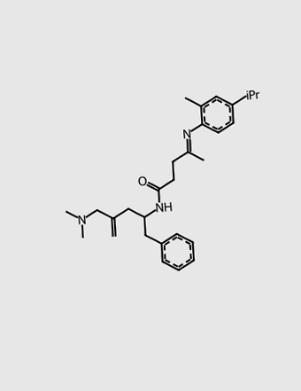 C=C(CC(Cc1ccccc1)NC(=O)CC/C(C)=N/c1ccc(C(C)C)cc1C)CN(C)C